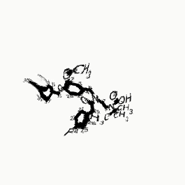 COc1cc(CN(CCN(C(=O)O)C(C)(C)C)C(=O)Cc2ccc(F)cc2)ccc1OCc1ccccc1